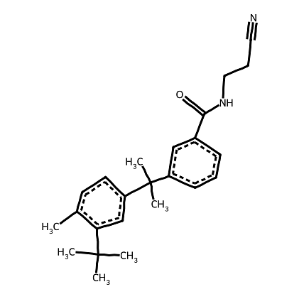 Cc1ccc(C(C)(C)c2cccc(C(=O)NCCC#N)c2)cc1C(C)(C)C